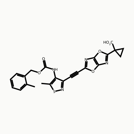 Cc1ccccc1COC(=O)Nc1c(C#Cc2nc3oc(C4(C(=O)O)CC4)nc3o2)nsc1C